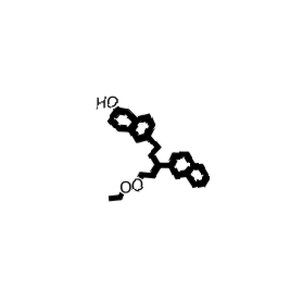 CCOOC/C=C(\CCc1ccc2cc(O)ccc2c1)c1ccc2ccccc2c1